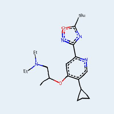 CCN(CC)CC(C)Oc1cc(-c2noc(C(C)(C)C)n2)ncc1C1CC1